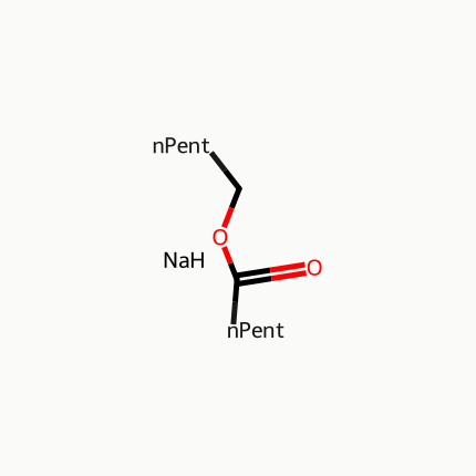 CCCCCCOC(=O)CCCCC.[NaH]